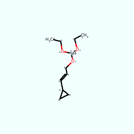 CCO[SiH](OCC)OCC=CC1CC1